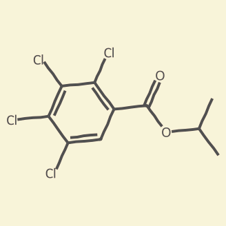 CC(C)OC(=O)c1cc(Cl)c(Cl)c(Cl)c1Cl